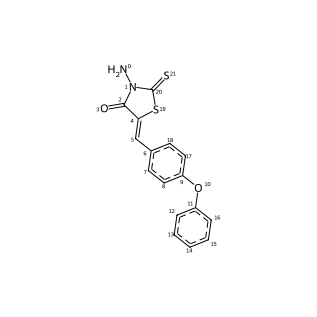 NN1C(=O)C(=Cc2ccc(Oc3ccccc3)cc2)SC1=S